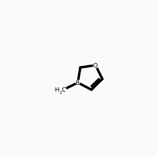 [CH2]B1C=COC1